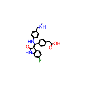 CNCc1ccc(N/C(=C2\C(=O)Nc3cc(F)ccc32)c2ccc(CC(=O)O)cc2)cc1